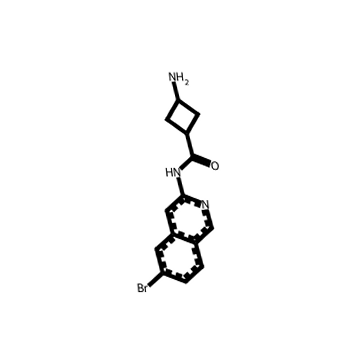 NC1CC(C(=O)Nc2cc3cc(Br)ccc3cn2)C1